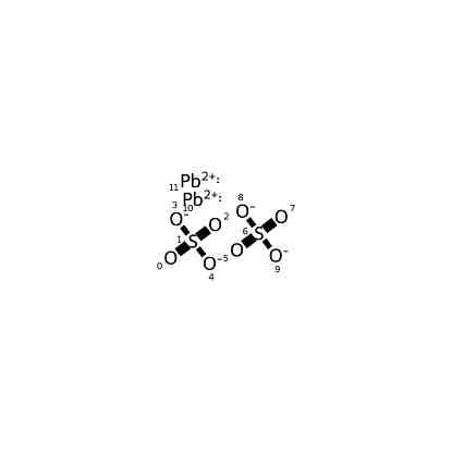 O=S(=O)([O-])[O-].O=S(=O)([O-])[O-].[Pb+2].[Pb+2]